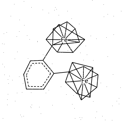 c1ccc([C]23[CH]4[CH]5[CH]6[CH]2[Fe]56432789[CH]3[CH]2[CH]7[CH]8[CH]39)c([C]23[CH]4[CH]5[CH]6[CH]2[Fe]56432789[CH]3[CH]2[CH]7[CH]8[CH]39)c1